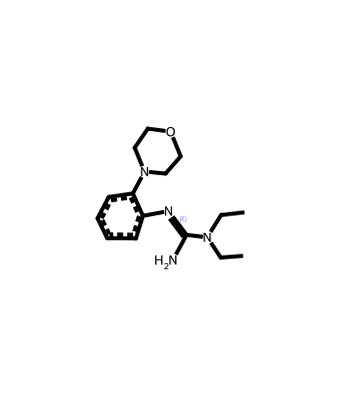 CCN(CC)/C(N)=N/c1ccccc1N1CCOCC1